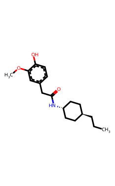 CCC[C@H]1CC[C@H](NC(=O)Cc2ccc(O)c(OC)c2)CC1